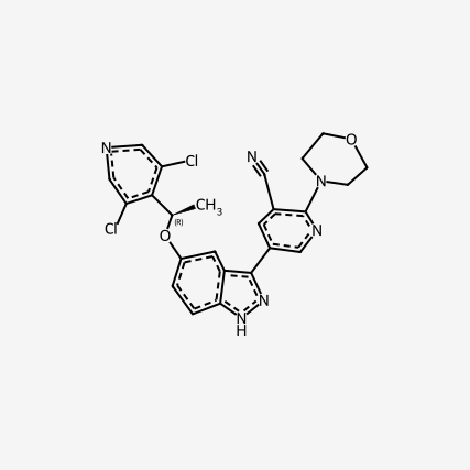 C[C@@H](Oc1ccc2[nH]nc(-c3cnc(N4CCOCC4)c(C#N)c3)c2c1)c1c(Cl)cncc1Cl